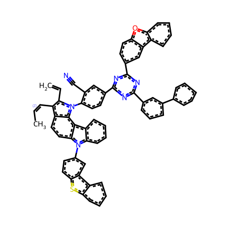 C=Cc1c(/C=C\C)c2ccc3c(c4ccccc4n3-c3ccc4sc5ccccc5c4c3)c2n1-c1ccc(-c2nc(-c3cccc(-c4ccccc4)c3)nc(-c3ccc4oc5ccccc5c4c3)n2)cc1C#N